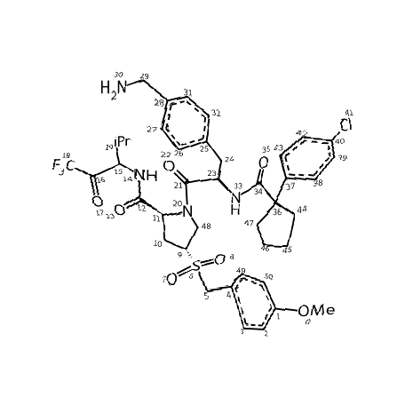 COc1ccc(CS(=O)(=O)[C@@H]2C[C@@H](C(=O)NC(C(=O)C(F)(F)F)C(C)C)N(C(=O)C(Cc3ccc(CN)cc3)NC(=O)C3(c4ccc(Cl)cc4)CCCC3)C2)cc1